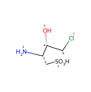 CS(=O)(=O)O.NC[C@H](O)CCl